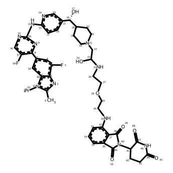 Cc1nc2c(F)cc(-c3nc(Nc4ccc([C@H](O)C5CCN(CC(O)NCCOCCNc6cccc7c6C(=O)N(C6CCC(=O)NC6=O)C7=O)CC5)cn4)ncc3F)cc2n1C(C)C